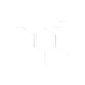 Cl.Cl.Nc1ccc(Cl)c(Cl)c1